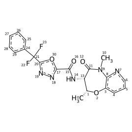 C[C@H]1Oc2cccnc2N(C)C(=O)[C@H]1NC(=O)c1nnc(C(F)(F)c2ccccc2)o1